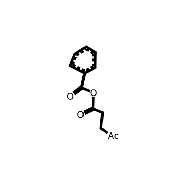 CC(=O)CCC(=O)OC(=O)c1ccccc1